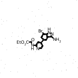 CCOC(=O)C(=O)Nc1cc(-c2cc(Br)c3[nH]nc(N)c3c2)ccn1